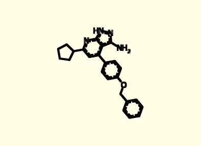 Nc1n[nH]c2nc(C3CCCC3)cc(-c3ccc(OCc4ccccc4)cc3)c12